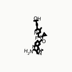 Cc1cc(CN(C(=O)c2cc3c(cc2F)nc(N)c2cnn(C)c23)C2CC2)ncc1C#CC(C)(C)O